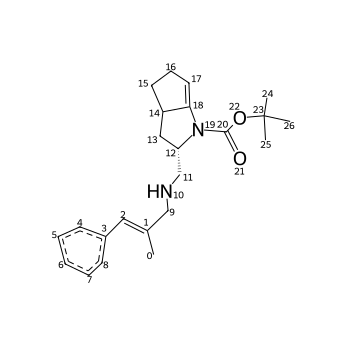 CC(=Cc1ccccc1)CNC[C@@H]1CC2CCC=C2N1C(=O)OC(C)(C)C